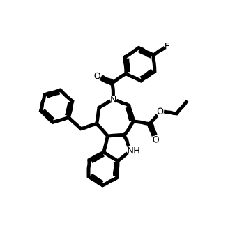 CCOC(=O)C1=CN(C(=O)c2ccc(F)cc2)CC(Cc2ccccc2)C2c3ccccc3NC12